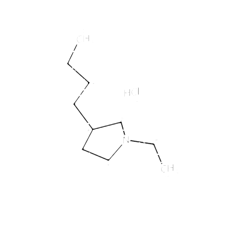 CCCCC1CCN(CC)C1.Cl